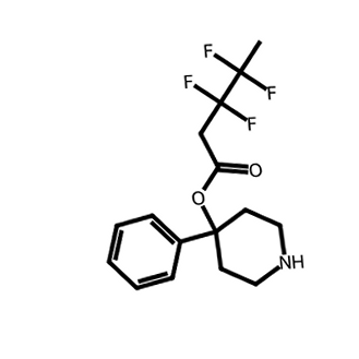 CC(F)(F)C(F)(F)CC(=O)OC1(c2ccccc2)CCNCC1